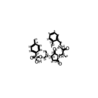 C[C@H](C(=O)NCc1ccccc1F)N1C(=O)C[C@H](N(C)C)C1=O.Cc1ccc(S(=O)(=O)O)cc1